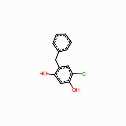 Oc1cc(O)c(Cc2ccccc2)cc1Cl